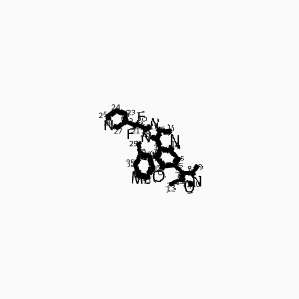 COc1cc2c(cc1-c1c(C)noc1C)ncc1nc(C(F)(F)c3cccnc3)n(Cc3ccccc3)c12